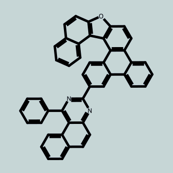 c1ccc(-c2nc(-c3ccc4c(c3)c3ccccc3c3ccc5oc6ccc7ccccc7c6c5c34)nc3ccc4ccccc4c23)cc1